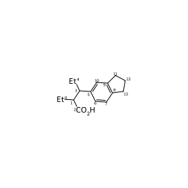 CCC(C(=O)O)C(CC)c1ccc2c(c1)CCC2